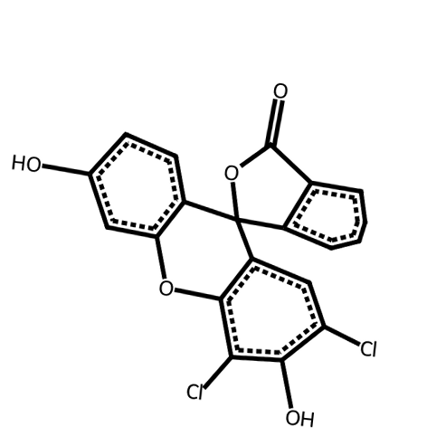 O=C1OC2(c3ccc(O)cc3Oc3c2cc(Cl)c(O)c3Cl)c2ccccc21